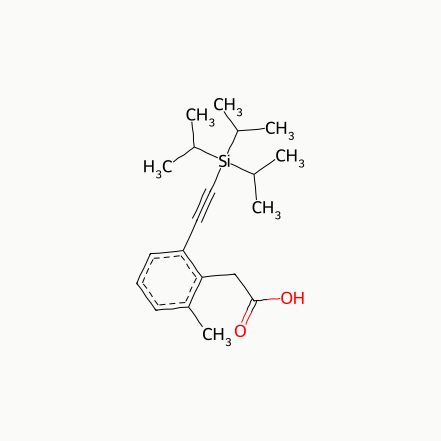 Cc1cccc(C#C[Si](C(C)C)(C(C)C)C(C)C)c1CC(=O)O